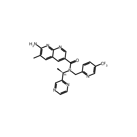 Cc1cc2cc(C(=O)N(Cc3ccc(C(F)(F)F)cn3)[C@H](C)c3cnccn3)cnc2nc1N